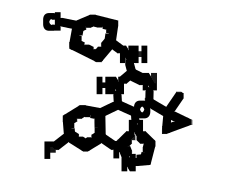 CC1(C(=O)/N=C(/Nc2ccc(Cl)cc2)NC(Cn2ccnc2)c2ccc(F)cc2F)CC1